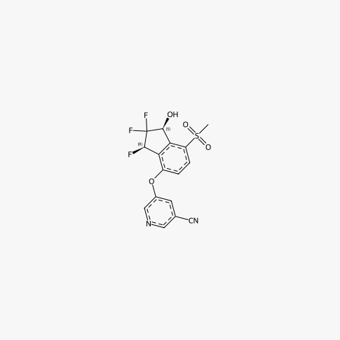 CS(=O)(=O)c1ccc(Oc2cncc(C#N)c2)c2c1[C@H](O)C(F)(F)[C@@H]2F